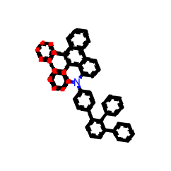 c1ccc(-c2cccc(N(c3ccc(-c4cccc(-c5ccccc5)c4-c4ccccc4)cc3)c3cccc4c3c(-c3ccccc3)c(-c3ccccc3)c3ccccc34)c2)cc1